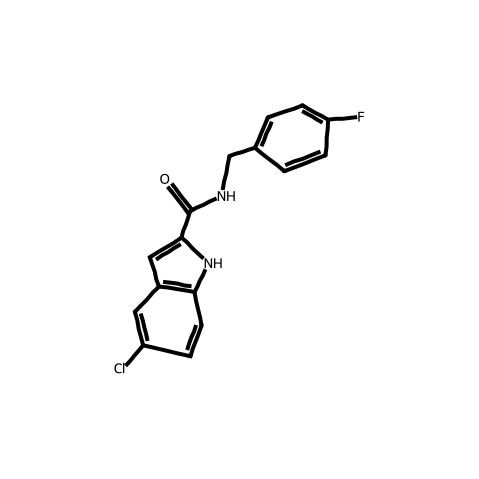 O=C(NCc1ccc(F)cc1)c1cc2cc(Cl)ccc2[nH]1